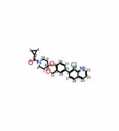 O=C(C1CC1)N1CCC2(CC1)OCc1cc(-c3ccc4cccnc4c3Cl)ccc1O2